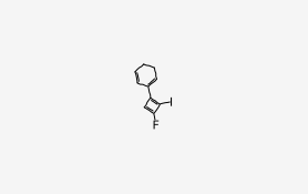 FC1=CC(C2=CCCC=C2)=C1I